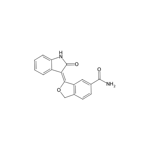 NC(=O)c1ccc2c(c1)C(=C1C(=O)Nc3ccccc31)OC2